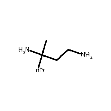 CCCC(C)(N)CCN